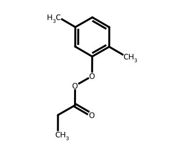 CCC(=O)OOc1cc(C)ccc1C